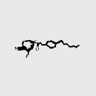 CCCCCCCC1CCC(CCC(=O)Oc2ccc(C#N)c(F)c2)CC1